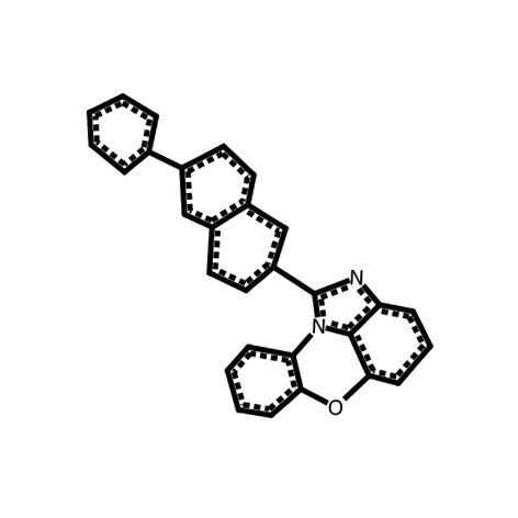 c1ccc(-c2ccc3cc(-c4nc5cccc6c5n4-c4ccccc4O6)ccc3c2)cc1